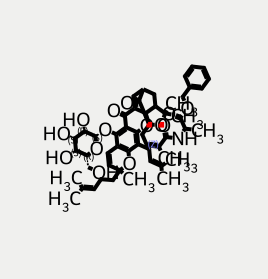 CC(C)=CCCC1(C)C=Cc2c(c(CC=C(C)C)c3c(c2O[C@@H]2O[C@H](CO)[C@@H](O)[C@H](O)[C@H]2O)C(=O)C2=CC4CC5C(C)(C)OC(C/C=C(/C)C(=O)NC(C)C(=O)OCc6ccccc6)(C4=O)C25O3)O1